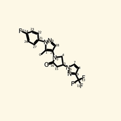 Cc1c(N2CC(n3ccc(C(F)(F)F)n3)CC2=O)cnn1-c1ccc(F)cc1